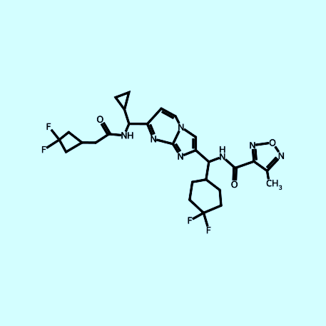 Cc1nonc1C(=O)NC(c1cn2ccc(C(NC(=O)CC3CC(F)(F)C3)C3CC3)nc2n1)C1CCC(F)(F)CC1